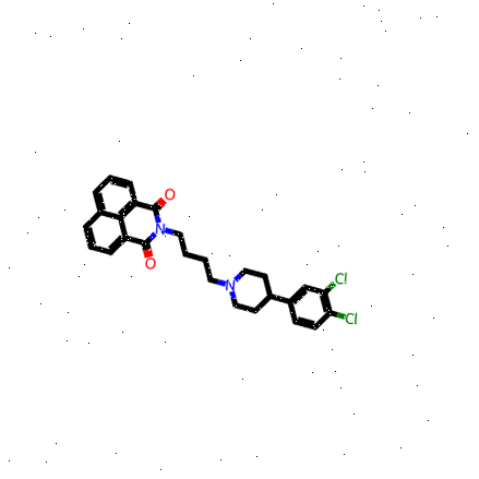 O=C1c2cccc3cccc(c23)C(=O)N1CCCCN1CCC(c2ccc(Cl)c(Cl)c2)CC1